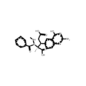 CNN(C(=O)c1ccccc1)[C@](C)(C(=O)O)C(CC(=O)O)c1ccc2nc(N)nc(O)c2c1